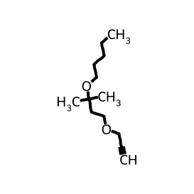 C#CCOCCC(C)(C)OCCCCC